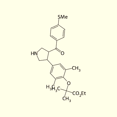 CCOC(=O)C(C)(C)Oc1c(C)cc(C2CNCC2C(=O)c2ccc(SC)cc2)cc1C